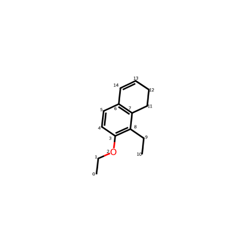 CCOc1ccc2c(c1CC)CCC=C2